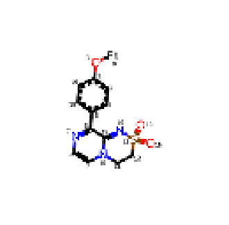 CCOc1ccc(C2=NC=CN3CCS(=O)(=O)N=C23)cc1